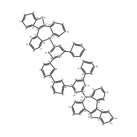 c1ccc(-c2cc(N3c4ccccc4-c4sc5ccccc5c4-c4ccccc43)nc(-c3cccc(-c4cccc(-c5cc(-c6ccccc6)nc(N6c7ccccc7-c7sc8ccccc8c7-c7ccccc76)n5)c4)c3)n2)cc1